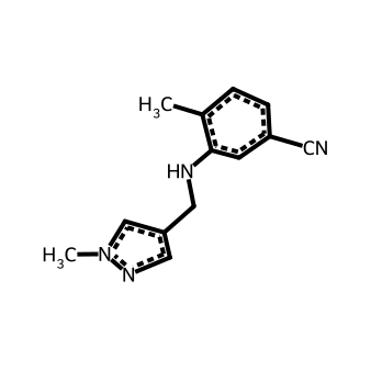 Cc1ccc(C#N)cc1NCc1cnn(C)c1